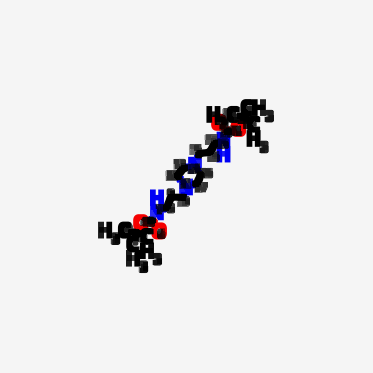 CC(C)(C)OC(=O)NCCCN1CCN(CCCNC(=O)OC(C)(C)C)CC1